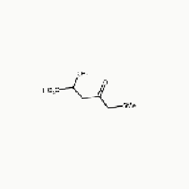 CSCC(=O)CC(C)C(=O)O